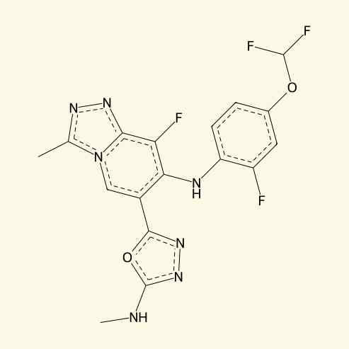 CNc1nnc(-c2cn3c(C)nnc3c(F)c2Nc2ccc(OC(F)F)cc2F)o1